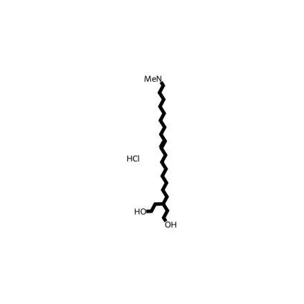 CNCCCCCCCCC=CCCCCCCCC(CCO)CCO.Cl